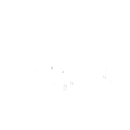 O=[N+]([O-])c1ccc(C=NN[C@@H]2O[C@H](COCc3ccccc3)[C@@H](OCc3ccccc3)[C@H]2OCc2ccccc2)cc1